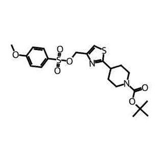 COc1ccc(S(=O)(=O)OCc2csc(C3CCN(C(=O)OC(C)(C)C)CC3)n2)cc1